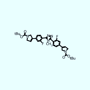 Cn1c(-c2ccc(C3=CCN(C(=O)OC(C)(C)C)C3)cc2F)nnc1-c1ccc(C2=CCN(C(=O)OC(C)(C)C)C2)cc1F